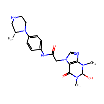 C[C@@H]1CNCCN1c1ccc(NC(=O)Cn2cnc3c2C(=O)N(C)C(O)N3C)cc1